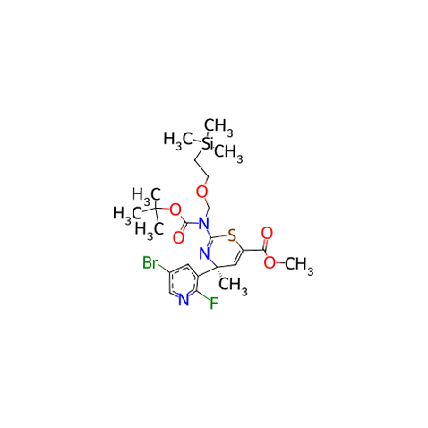 COC(=O)C1=C[C@@](C)(c2cc(Br)cnc2F)N=C(N(COCC[Si](C)(C)C)C(=O)OC(C)(C)C)S1